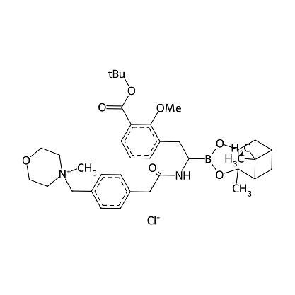 COc1c(CC(NC(=O)Cc2ccc(C[N+]3(C)CCOCC3)cc2)B2OC3CC4CC(C4(C)C)C3(C)O2)cccc1C(=O)OC(C)(C)C.[Cl-]